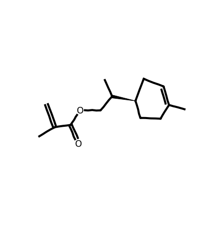 C=C(C)C(=O)OCC(C)[C@H]1CC=C(C)CC1